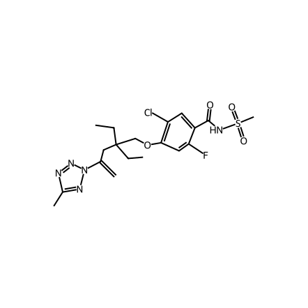 C=C(CC(CC)(CC)COc1cc(F)c(C(=O)NS(C)(=O)=O)cc1Cl)n1nnc(C)n1